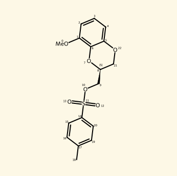 COc1cccc2c1O[C@H](COS(=O)(=O)c1ccc(C)cc1)CO2